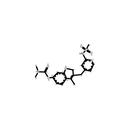 CC1=C(Cc2ccnc(NS(C)(=O)=O)c2)COc2cc(OC(=O)N(C)C)ccc21